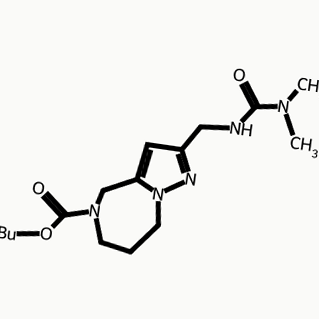 CN(C)C(=O)NCc1cc2n(n1)CCCN(C(=O)OC(C)(C)C)C2